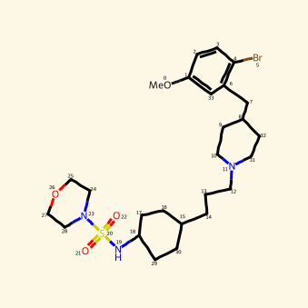 COc1ccc(Br)c(CC2CCN(CCCC3CCC(NS(=O)(=O)N4CCOCC4)CC3)CC2)c1